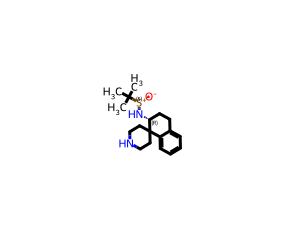 CC(C)(C)[S@@+]([O-])N[C@@H]1CCc2ccccc2C12CCNCC2